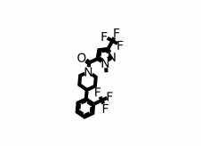 Cn1nc(C(F)(F)F)cc1C(=O)N1CCC(c2ccccc2C(F)(F)F)CC1